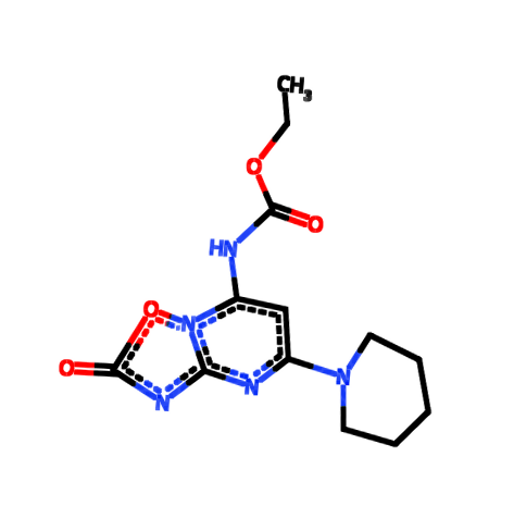 CCOC(=O)Nc1cc(N2CCCCC2)nc2nc(=O)on12